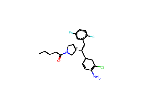 CCCCC(=O)N1CC[C@H](C(Cc2cc(F)ccc2F)C2C=CC(N)=C(Cl)C2)C1